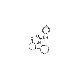 O=C1CCCC2=C1N(C(=O)Nc1ccncc1)C1CC=CC=CN21